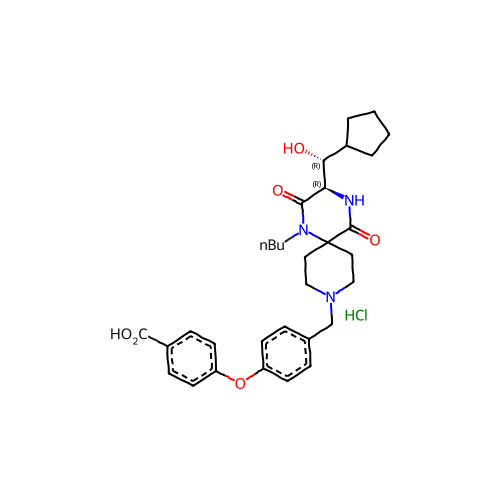 CCCCN1C(=O)[C@@H]([C@H](O)C2CCCC2)NC(=O)C12CCN(Cc1ccc(Oc3ccc(C(=O)O)cc3)cc1)CC2.Cl